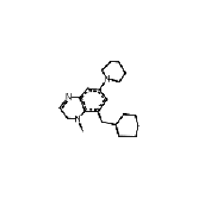 CN1CC=Nc2cc(N3CCCCC3)cc(CC3CCCCC3)c21